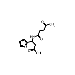 CC(=O)CCC(=O)NC(CC(=O)O)c1ccco1